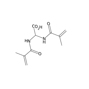 C=C(C)C(=O)NC(NC(=O)C(=C)C)C(=O)O